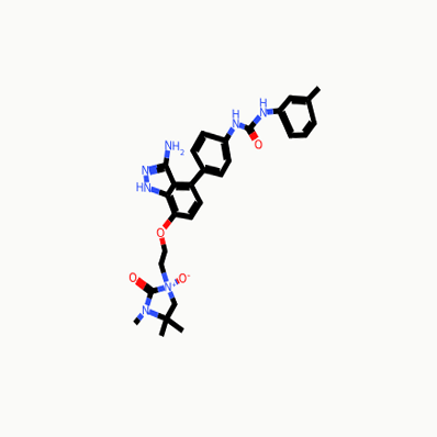 Cc1cccc(NC(=O)Nc2ccc(-c3ccc(OCC[N+]4([O-])CC(C)(C)N(C)C4=O)c4[nH]nc(N)c34)cc2)c1